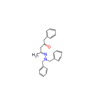 CC(CC(=O)Cc1ccccc1)=NN(Cc1ccccc1)Cc1ccccc1